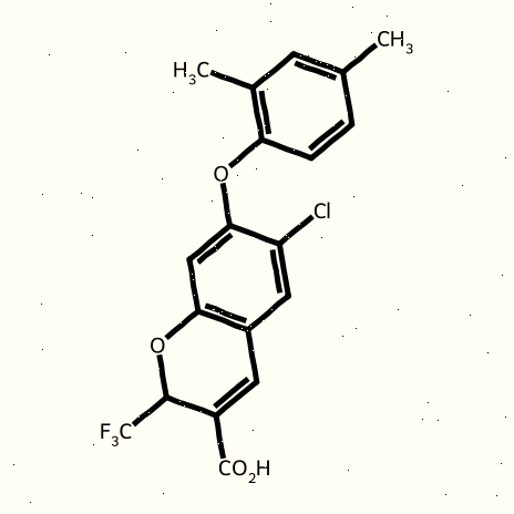 Cc1ccc(Oc2cc3c(cc2Cl)C=C(C(=O)O)C(C(F)(F)F)O3)c(C)c1